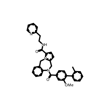 COc1cc(C(=O)N2Cc3ccc(C(=O)NCCc4ccccn4)n3Cc3ccccc32)ccc1-c1ccccc1C